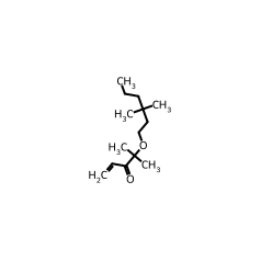 C=CC(=O)C(C)(C)OCCC(C)(C)CCC